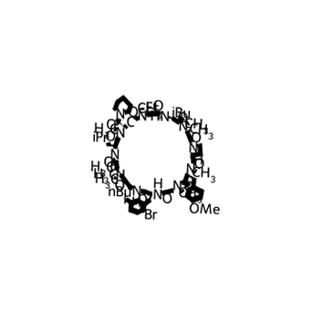 CCCC[C@@H]1NC(=O)[C@H](Cc2cc(I)ccc2Br)NC(=O)CN(C)C(=O)[C@H](Cc2ccc(OC)cc2)N(C)C(=O)[C@@H]2CCN2C(=O)[C@H](C)N(C)C(=O)[C@H]([C@@H](C)CC)NC(=O)[C@H](CC)N(C)C(=O)C[C@@H](C(=O)N2CCCCC2)N(C)C(=O)[C@H](CC(C)C)NC(=O)C(C)(C)N(C)C1=O